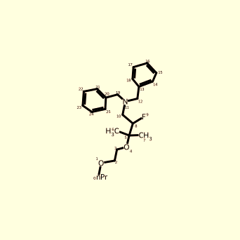 CCCOCCOC(C)(C)C(F)CN(Cc1ccccc1)Cc1ccccc1